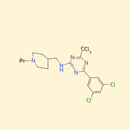 CC(C)N1CCC(CNc2nc(-c3cc(Cl)cc(Cl)c3)nc(C(Cl)(Cl)Cl)n2)CC1